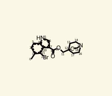 Cc1ccc2[nH]cc(C(=O)OCC34CCN(CC3)CC4)c2c1Br